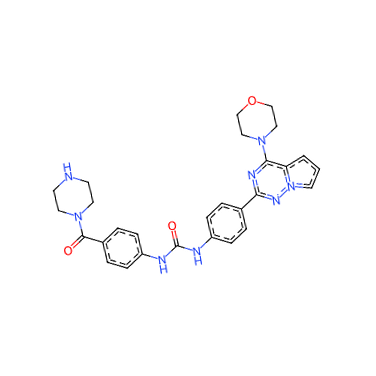 O=C(Nc1ccc(C(=O)N2CCNCC2)cc1)Nc1ccc(-c2nc(N3CCOCC3)c3cccn3n2)cc1